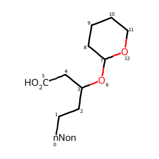 CCCCCCCCCCCC(CC(=O)O)OC1CCCCO1